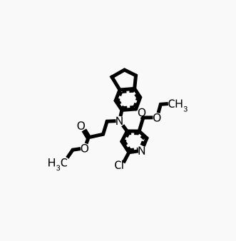 CCOC(=O)CCN(c1ccc2c(c1)CCC2)c1cc(Cl)ncc1C(=O)OCC